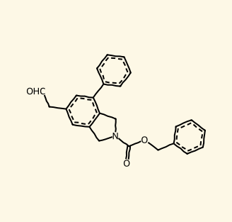 O=CCc1cc2c(c(-c3ccccc3)c1)CN(C(=O)OCc1ccccc1)C2